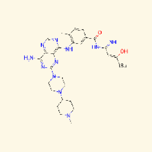 Cc1ccc(C(=O)NC(=N)/C=C(\O)C(C)(C)C)cc1Nc1ncnc2c(N)nc(N3CCN(C4CCN(C)CC4)CC3)nc12